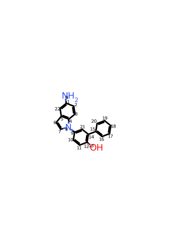 Nc1ccc2c(ccn2-c2ccc(O)c(-c3ccccc3)c2)c1